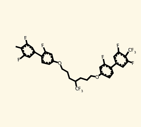 Cc1c(F)cc(-c2ccc(OCCCC(CCCOc3ccc(-c4cc(F)c(C(F)(F)F)c(F)c4)c(F)c3)C(F)(F)F)cc2F)cc1F